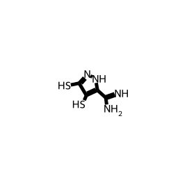 N=C(N)c1[nH]nc(S)c1S